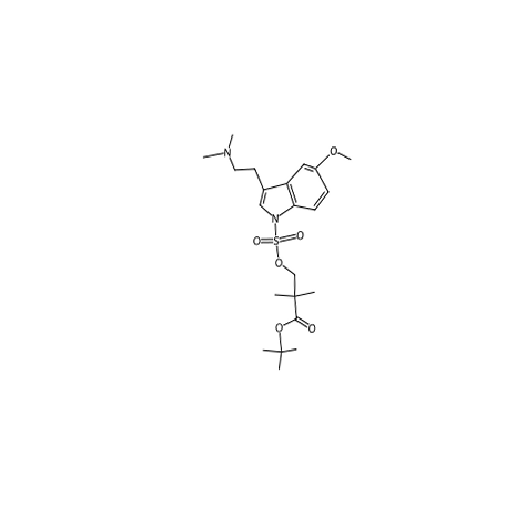 COc1ccc2c(c1)c(CCN(C)C)cn2S(=O)(=O)OCC(C)(C)C(=O)OC(C)(C)C